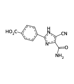 N#Cc1[nH]c(-c2ccc(C(=O)O)cc2)nc1C(N)=O